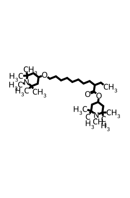 CCC(CCCCCCCCOC1CC(C)(C)N(C)C(C)(C)C1)C(=O)OC1CC(C)(C)N(C)C(C)(C)C1